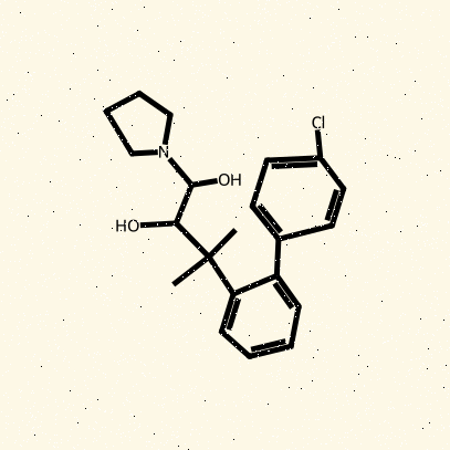 CC(C)(c1ccccc1-c1ccc(Cl)cc1)C(O)C(O)N1CCCC1